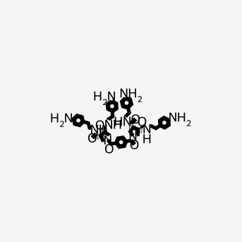 Nc1ccc(CCNC(=O)[C@H]2CN(C(=O)c3ccc(C(=O)N4C[C@H](C(=O)NCCc5ccc(N)cc5)[C@@H](C(=O)NCCc5ccc(N)cc5)C4)cc3)C[C@@H]2C(=O)NCCc2ccc(N)cc2)cc1